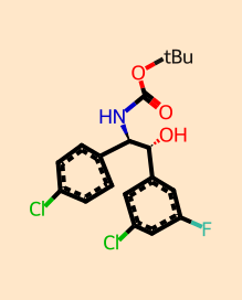 CC(C)(C)OC(=O)N[C@H](c1ccc(Cl)cc1)[C@H](O)c1cc(F)cc(Cl)c1